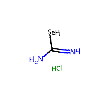 Cl.N=C(N)[SeH]